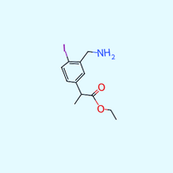 CCOC(=O)C(C)c1ccc(I)c(CN)c1